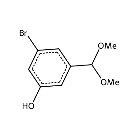 COC(OC)c1cc(O)cc(Br)c1